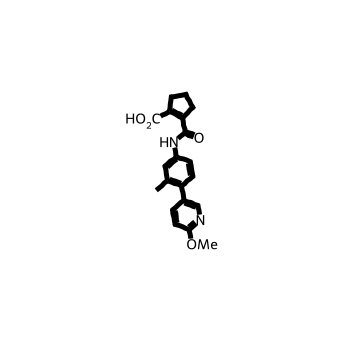 COc1ccc(-c2ccc(NC(=O)C3=C(C(=O)O)CCC3)cc2C)cn1